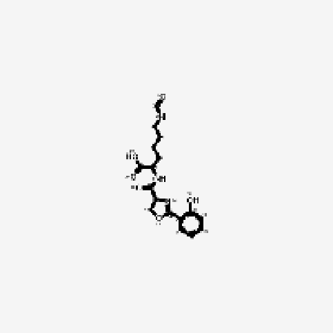 O=CNCCCCC(NC(=O)C1COC(c2ccccc2O)=N1)C(=O)O